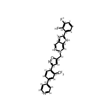 Fc1cccc(-c2nc3cnn(Cc4cc(-c5ccc(-c6ccncc6)cc5C(F)(F)F)no4)cc-3n2)c1F